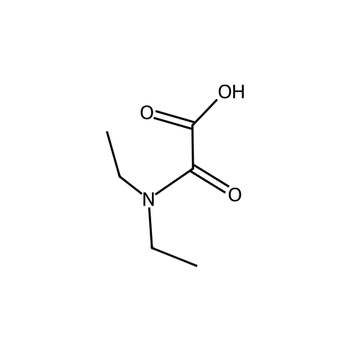 CCN(CC)C(=O)C(=O)O